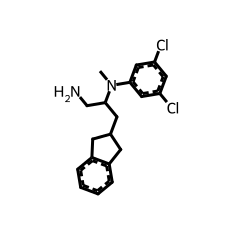 CN(c1cc(Cl)cc(Cl)c1)C(CN)CC1Cc2ccccc2C1